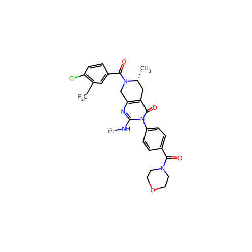 CC(C)Nc1nc2c(c(=O)n1-c1ccc(C(=O)N3CCOCC3)cc1)C[C@@H](C)N(C(=O)c1ccc(Cl)c(C(F)(F)F)c1)C2